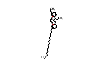 CCCCCCCCCCCCCCCCCCN1C=CN(CCCCC)C1(Cc1ccccc1)C(CC)c1ccccc1